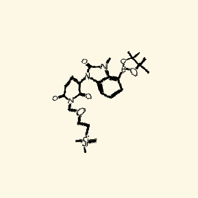 Cn1c(=O)n(C2CCC(=O)N(COCC[Si](C)(C)C)C2=O)c2cccc(B3OC(C)(C)C(C)(C)O3)c21